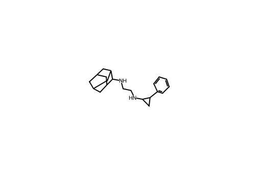 c1ccc(C2CC2NCCNC2C3CC4CC(C3)CC2C4)cc1